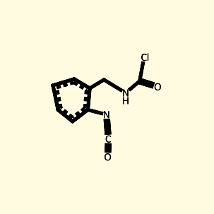 O=C=Nc1ccccc1CNC(=O)Cl